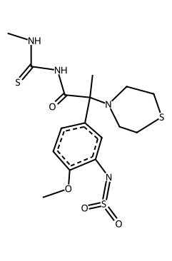 CNC(=S)NC(=O)C(C)(c1ccc(OC)c(N=S(=O)=O)c1)N1CCSCC1